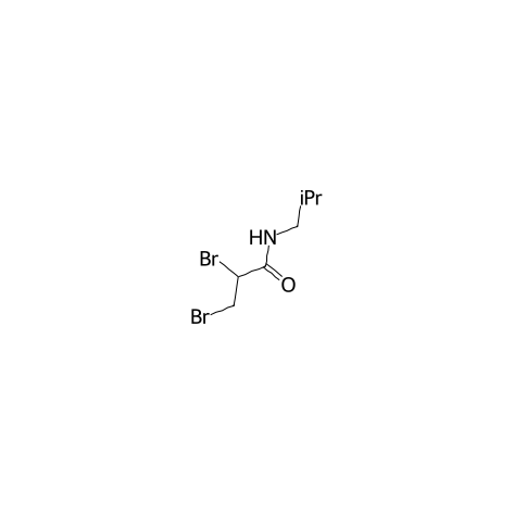 CC(C)CNC(=O)C(Br)CBr